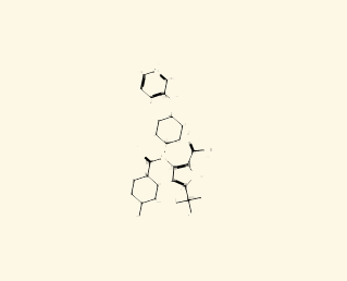 CC1CCC(C(=O)N(c2cc(C(C)(C)C)sc2C(=O)O)[C@H]2CC[C@H](Oc3cccnc3)CC2)CC1